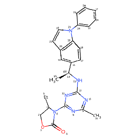 CCC1COC(=O)N1c1nc(C)nc(N[C@@H](C)c2ccc3c(ccn3-c3ccccc3)c2)n1